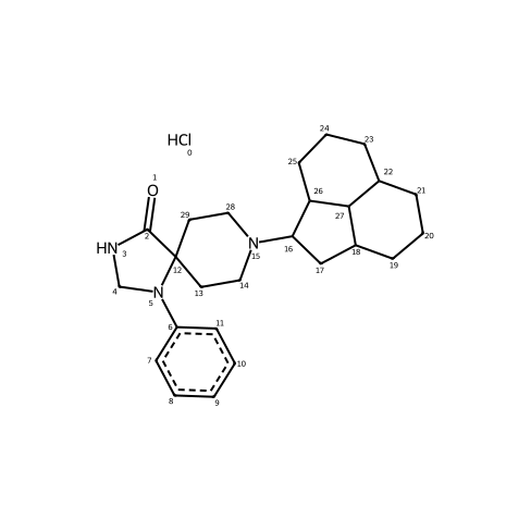 Cl.O=C1NCN(c2ccccc2)C12CCN(C1CC3CCCC4CCCC1C43)CC2